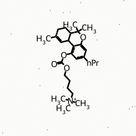 CCCc1cc(OC(=O)OCCCC[N+](C)(C)C)c2c(c1)OC(C)(C)C1CCC(C)=CC21